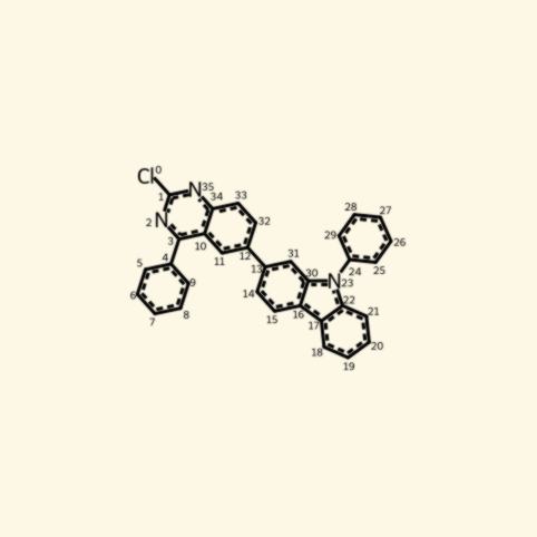 Clc1nc(-c2ccccc2)c2cc(-c3ccc4c5ccccc5n(-c5ccccc5)c4c3)ccc2n1